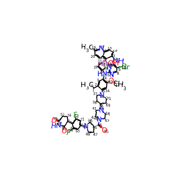 CCc1cc(Nc2ncc(Br)c(Nc3ccc4nc(C)ccc4c3[PH]3(O)CC=CC3)n2)c(OC)cc1N1CCC(N2CCN(C(=O)[C@@H]3CCN(c4cc(F)c(C5CCC(=O)NC5=O)c(F)c4)C3)CC2)CC1